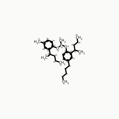 CCCCCc1ccc(OP(C)Oc2ccc(C)cc2C(C)CCC)c(C(C)CCC)c1